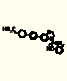 Cc1cccc(C#N)c1NC(=O)N1CCOc2cc(-c3ccc([C@H]4CC[C@H](CC(=O)O)CC4)cc3)ccc21